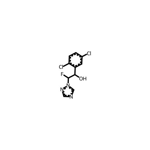 OC(c1cc(Cl)ccc1Cl)C(F)n1cncn1